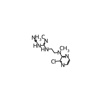 CN=C(NC#N)NCCN(C)c1nccnc1Cl